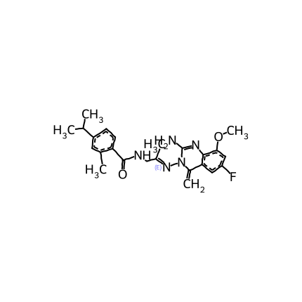 C=C1c2cc(F)cc(OC)c2N=C(N)N1/N=C(\C)CNC(=O)c1ccc(C(C)C)cc1C